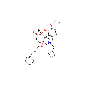 COc1ccc2c3c1O[C@H]1C(=O)CC[C@@]4(OCCCc5ccccc5)C(C2)N(CC2CCC2)CC[C@]314